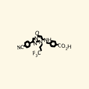 N#Cc1ccc(-c2cn3c(=O)cc(NCc4ccc(C(=O)O)cc4)n(CCCC(F)(F)F)c3n2)cc1